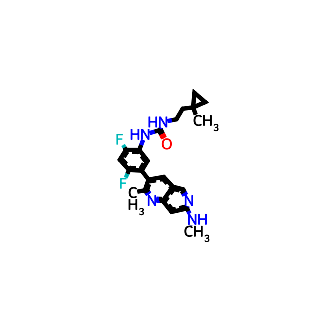 CNc1cc2nc(C)c(-c3cc(NC(=O)NCCC4(C)CC4)c(F)cc3F)cc2cn1